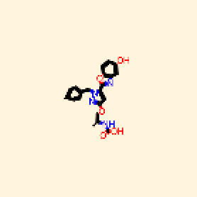 C[C@@H](COc1cc(-c2nc3cc(O)ccc3o2)n(Cc2ccccc2)n1)NC(=O)O